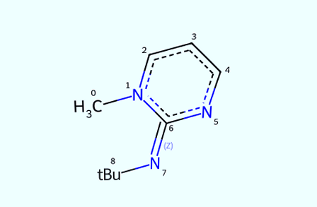 Cn1cccn/c1=N/C(C)(C)C